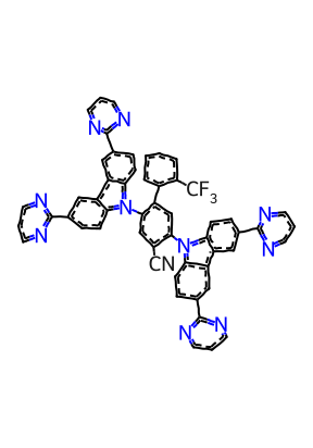 N#Cc1cc(-n2c3ccc(-c4ncccn4)cc3c3cc(-c4ncccn4)ccc32)c(-c2ccccc2C(F)(F)F)cc1-n1c2ccc(-c3ncccn3)cc2c2cc(-c3ncccn3)ccc21